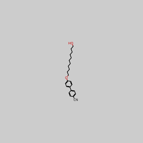 N#Cc1ccc(-c2ccc(OCCCCCCCCCCCO)cc2)cc1